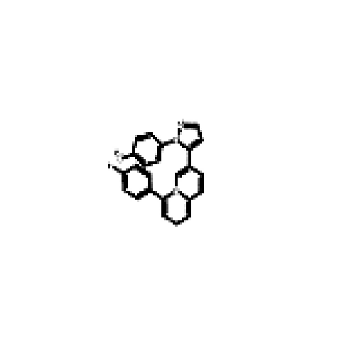 Cc1ccc(-n2nccc2C2=CN3C(=CCC=C3c3ccc(F)cc3)C=C2)cc1